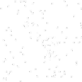 C=C/C(OC)=c1/c(C(=O)C(=O)N2CCc3c(cccc3-c3ccccn3)C2)c[nH]/c1=C(/N)c1cc(C(=O)O)[nH]n1